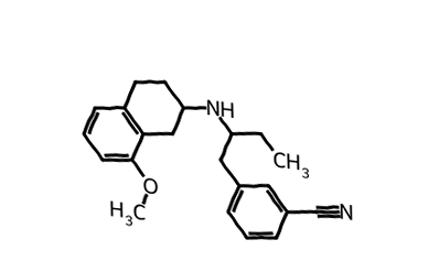 CCC(Cc1cccc(C#N)c1)NC1CCc2cccc(OC)c2C1